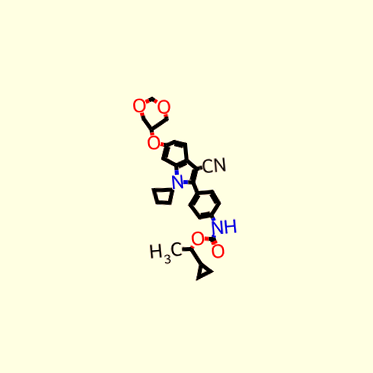 CC(OC(=O)Nc1ccc(-c2c(C#N)c3ccc(OC4COCOC4)cc3n2C2CCC2)cc1)C1CC1